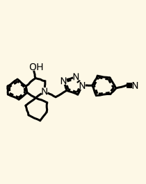 N#Cc1ccc(-n2cc(CN3CC(O)c4ccccc4C34CCCCC4)nn2)cc1